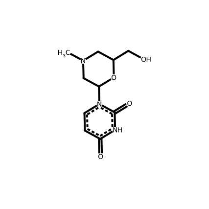 CN1CC(CO)OC(n2ccc(=O)[nH]c2=O)C1